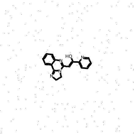 O/C(=C\C1=Nc2ccccc2C2=NCCN12)c1ccccn1